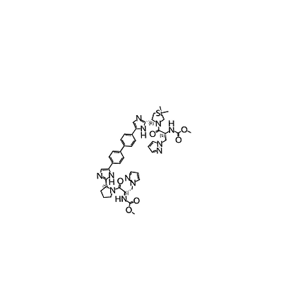 COC(=O)N[C@@H](Cn1cccn1)C(=O)N1CCC[C@H]1c1ncc(-c2ccc(-c3ccc(-c4cnc([C@@H]5C[Si](C)(C)CN5C(=O)[C@H](Cn5cccn5)NC(=O)OC)[nH]4)cc3)cc2)[nH]1